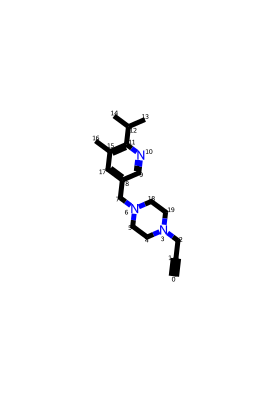 C#CCN1CCN(Cc2cnc(C(C)C)c(C)c2)CC1